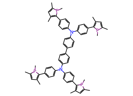 Cc1cc(C)p(C)c1-c1ccc(N(c2ccc(-c3ccc(N(c4ccc(-c5c(C)cc(C)p5C)cc4)c4ccc(-c5c(C)cc(C)p5C)cc4)cc3)cc2)c2ccc(-c3c(C)cc(C)p3C)cc2)cc1